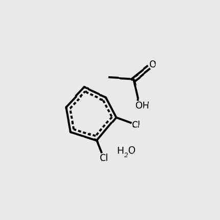 CC(=O)O.Clc1ccccc1Cl.O